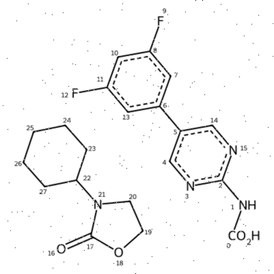 O=C(O)Nc1ncc(-c2cc(F)cc(F)c2)cn1.O=C1OCCN1C1CCCCC1